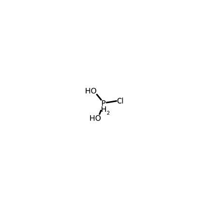 O[PH2](O)Cl